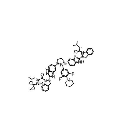 CCC[C@@H](NC(=O)OC)C(=O)N1c2ccccc2C[C@H]1c1nc2cc([C@H]3CC[C@H](c4ccc5[nH]c([C@@H]6Cc7ccccc7N6C(=O)[CH]C(C)C)nc5c4)N3c3cc(F)c(N4CCCCC4)c(F)c3)ccc2[nH]1